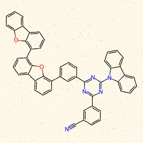 N#Cc1cccc(-c2nc(-c3cccc(-c4cccc5c4oc4c(-c6cccc7c6oc6ccccc67)cccc45)c3)nc(-n3c4ccccc4c4ccccc43)n2)c1